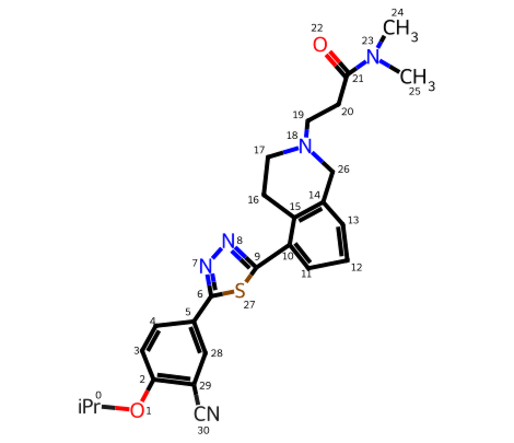 CC(C)Oc1ccc(-c2nnc(-c3cccc4c3CCN(CCC(=O)N(C)C)C4)s2)cc1C#N